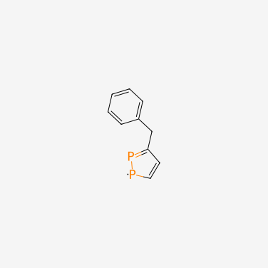 C1=CC(Cc2ccccc2)=P[P]1